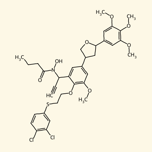 C#CC(c1cc(C2COC(c3cc(OC)c(OC)c(OC)c3)C2)cc(OC)c1OCCSc1ccc(Cl)c(Cl)c1)N(O)C(=O)CCC